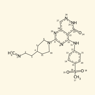 C=NCCC1CCN(c2nc(Nc3ccc(S(C)(=O)=O)cc3)c3c(=O)[nH]ncc3n2)CC1